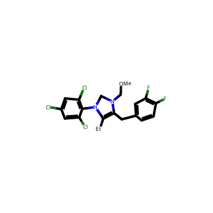 CCC1=C(Cc2ccc(F)c(F)c2)N(COC)CN1c1c(Cl)cc(Cl)cc1Cl